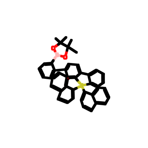 CC1(C)OB(c2ccccc2-c2ccc3c(c2)S(c2cccc4ccccc24)(c2cccc4ccccc24)c2ccccc2-3)OC1(C)C